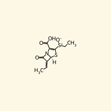 CC=C1C(=O)N2C(C(=O)O)=C([S+]([O-])CC)S[C@@H]12